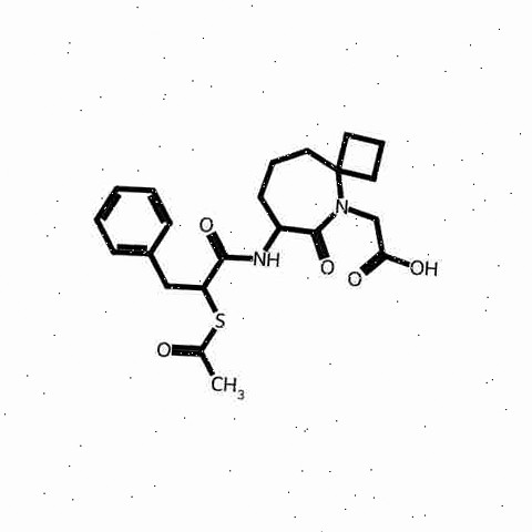 CC(=O)SC(Cc1ccccc1)C(=O)NC1CCCC2(CCC2)N(CC(=O)O)C1=O